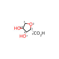 O=C(O)[C@H]1OC[C@H](O)[C@H]1O